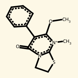 COc1c(-c2ccccc2)c(=O)n2c([n+]1C)SCC2